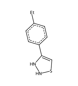 CCc1ccc(C2=CSNN2)cc1